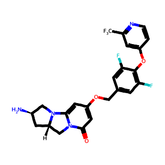 N[C@@H]1C[C@H]2Cn3c(cc(OCc4cc(F)c(Oc5ccnc(C(F)(F)F)c5)c(F)c4)cc3=O)N2C1